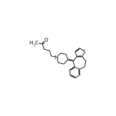 CC(=O)CCCN1CCC(=C2c3ccccc3CCc3sccc32)CC1